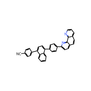 N#Cc1ccc(-c2ccc(-c3ccc(-c4ccc5ccc6cccnc6c5n4)cc3)c3ccccc23)cc1